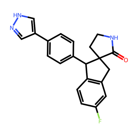 O=C1NCCC12Cc1cc(F)ccc1C2c1ccc(-c2cn[nH]c2)cc1